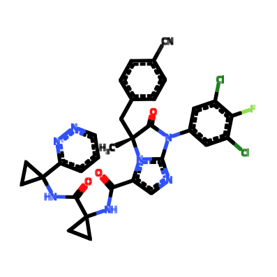 C[C@@]1(Cc2ccc(C#N)cc2)C(=O)N(c2cc(Cl)c(F)c(Cl)c2)c2ncc(C(=O)NC3(C(=O)NC4(c5cccnn5)CC4)CC3)n21